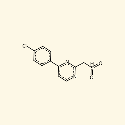 O=[SH](=O)Cc1nccc(-c2ccc(Cl)cc2)n1